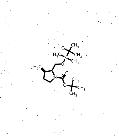 C=C1CCN(C(=O)OC(C)(C)C)C1CO[Si](C)(C)C(C)(C)C